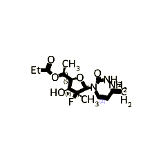 C=C(N)/C=C\N(C(N)=O)[C@@H]1O[C@H]([C@H](C)OC(=O)CC)[C@@H](O)[C@]1(C)F